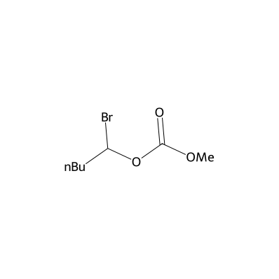 CCCCC(Br)OC(=O)OC